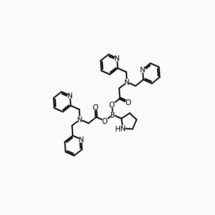 O=C(CN(Cc1ccccn1)Cc1ccccn1)OB(OC(=O)CN(Cc1ccccn1)Cc1ccccn1)C1CCCN1